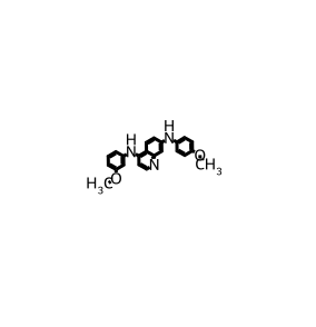 COc1ccc(Nc2ccc3c(Nc4cccc(OC)c4)ccnc3c2)cc1